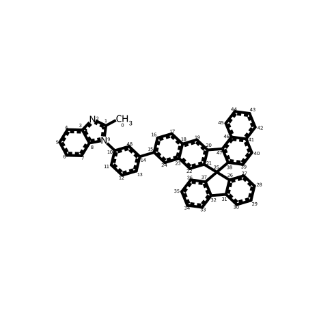 Cc1nc2ccccc2n1-c1cccc(-c2ccc3cc4c(cc3c2)C2(c3ccccc3-c3ccccc32)c2ccc3ccccc3c2-4)c1